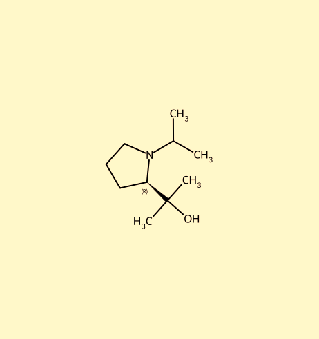 CC(C)N1CCC[C@@H]1C(C)(C)O